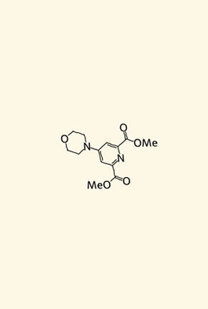 COC(=O)c1cc(N2CCOCC2)cc(C(=O)OC)n1